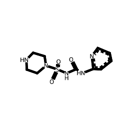 O=C(Nc1ccccn1)NS(=O)(=O)N1CCNCC1